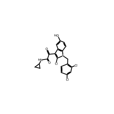 O=C(NC1CC1)C(=O)c1c(Cl)n(Cc2ccc(Cl)cc2Cl)c2ccc(O)cc12